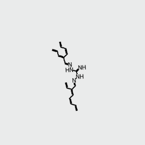 C=C\C=C/C=C(C=C)/C=N/NC(=N)N/N=C/C(/C=C\C=C)=C/C=C